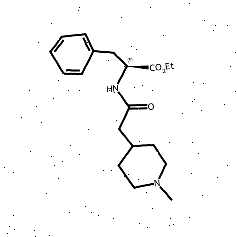 CCOC(=O)[C@H](Cc1ccccc1)NC(=O)CC1CCN(C)CC1